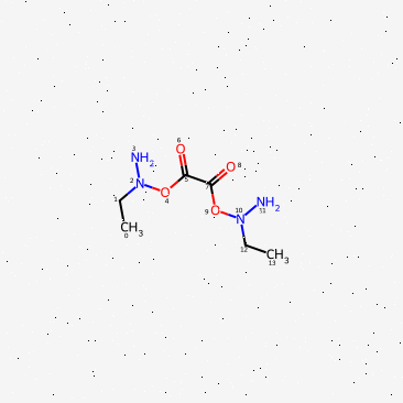 CCN(N)OC(=O)C(=O)ON(N)CC